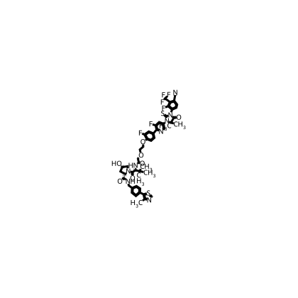 Cc1ncsc1-c1ccc(CNC(=O)[C@@H]2C[C@@H](O)CN2C(=O)[C@@H](NC(=O)COCCOc2ccc(-c3ncc(N4C(=S)N(c5ccc(C#N)c(C(F)(F)F)c5F)C(=O)C4(C)C)cc3F)cc2F)C(C)(C)C)cc1